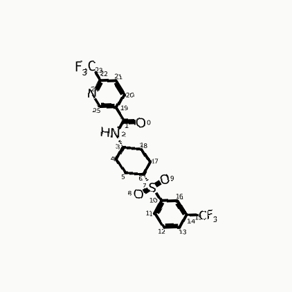 O=C(N[C@H]1CC[C@@H](S(=O)(=O)c2cccc(C(F)(F)F)c2)CC1)c1ccc(C(F)(F)F)nc1